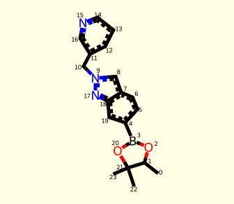 CC1OB(c2ccc3cn(Cc4cccnc4)nc3c2)OC1(C)C